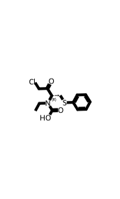 CCN(C(=O)O)[C@@H](CSc1ccccc1)C(=O)CCl